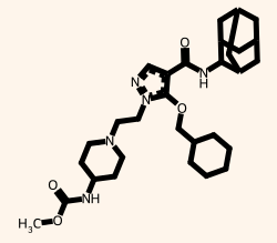 COC(=O)NC1CCN(CCn2ncc(C(=O)NC3C4CC5CC(C4)CC3C5)c2OCC2CCCCC2)CC1